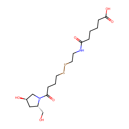 O=C(O)CCCCC(=O)NCCSSCCCC(=O)N1C[C@H](O)C[C@H]1CO